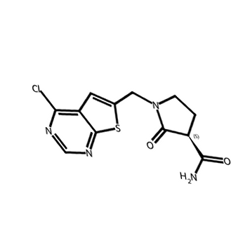 NC(=O)[C@@H]1CCN(Cc2cc3c(Cl)ncnc3s2)C1=O